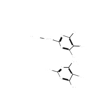 Nc1nc(N)c(N)c(N)n1.Nc1nc(N)c(N)c(N)n1.O=S(=O)(O)O